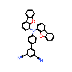 N#Cc1cc(C#N)cc(-c2ccc(N(c3cccc4c3oc3ccccc34)c3cccc4c3oc3ccccc34)cc2)c1